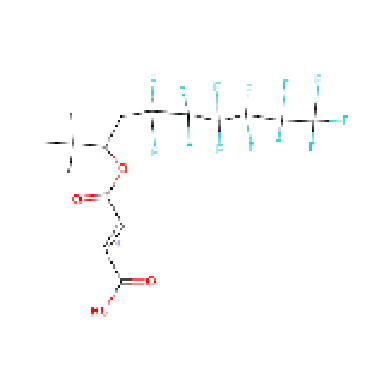 CC(C)(C)C(CC(F)(F)C(F)(F)C(F)(F)C(F)(F)C(F)(F)C(F)(F)F)OC(=O)/C=C/C(=O)O